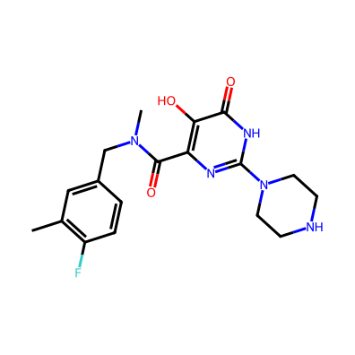 Cc1cc(CN(C)C(=O)c2nc(N3CCNCC3)[nH]c(=O)c2O)ccc1F